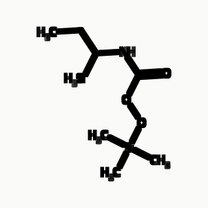 CCC([SiH3])NC(=O)OO[Si](C)(C)C